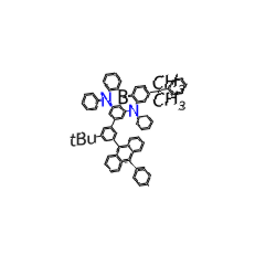 CC(C)(C)c1cc(-c2cc3c4c(c2)N(c2ccccc2)c2cc(C(C)(C)c5ccccc5)ccc2B4c2ccccc2N3c2ccccc2)cc(-c2c3ccccc3c(-c3ccccc3)c3ccccc23)c1